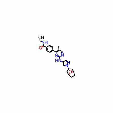 Cc1cnc(Nc2cnn(C3CC4CCC(C3)O4)c2)nc1-c1ccc(C(=O)NCC#N)cc1